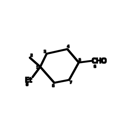 CCC1(C)CCC(C=O)CC1